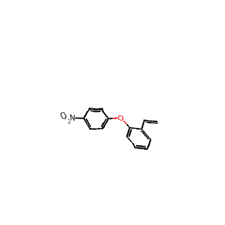 C=Cc1ccccc1Oc1ccc([N+](=O)[O-])cc1